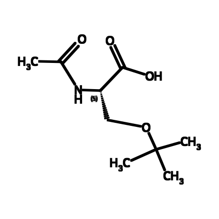 CC(=O)N[C@@H](COC(C)(C)C)C(=O)O